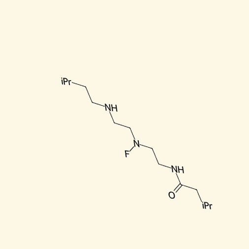 CC(C)CCNCCN(F)CCNC(=O)CC(C)C